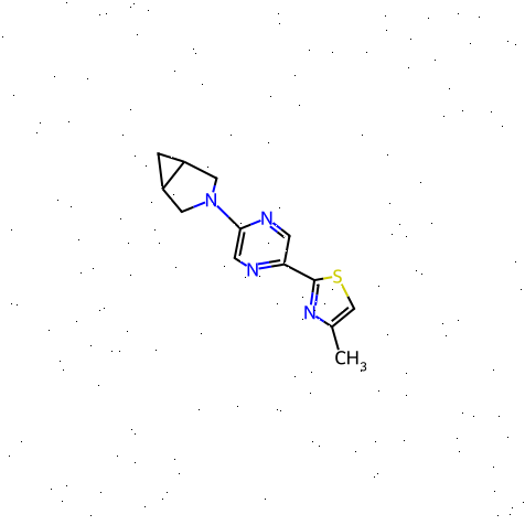 Cc1csc(-c2cnc(N3CC4CC4C3)cn2)n1